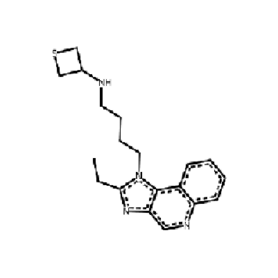 CCc1nc2cnc3ccccc3c2n1CCCCNC1CSC1